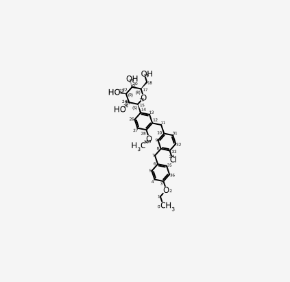 CCOc1ccc(Cc2cc(Cc3cc([C@@H]4O[C@H](CO)[C@@H](O)[C@H](O)[C@H]4O)ccc3OC)ccc2Cl)cc1